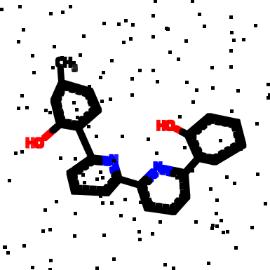 Cc1ccc(-c2cccc(-c3cccc(-c4ccccc4O)n3)n2)c(O)c1